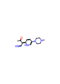 CC(=O)/C(C=N)=C1\C=CC(N2CCN(C)CC2)=CN1